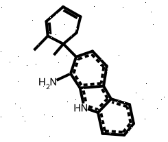 CC1=CC=CCC1(C)c1ccc2c([nH]c3ccccc32)c1N